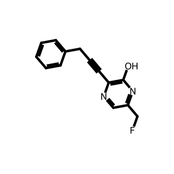 Oc1nc(CF)cnc1C#CCc1ccccc1